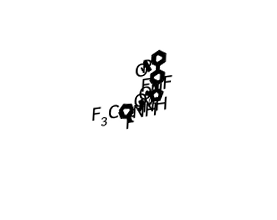 CP(C)(=O)c1ccccc1-c1cc(F)c(N2CC[C@@H](NC(=O)Nc3ccc(C(F)(F)F)cc3F)C2=O)c(F)c1